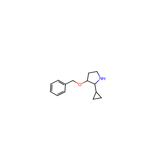 c1ccc(COC2CCNC2C2CC2)cc1